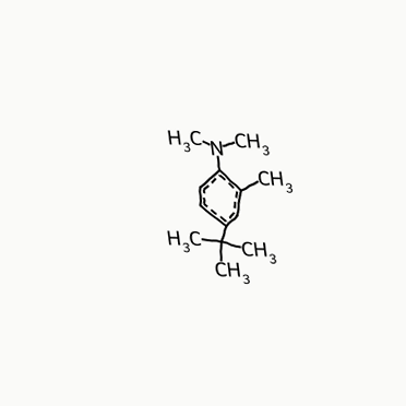 Cc1cc(C(C)(C)C)ccc1N(C)C